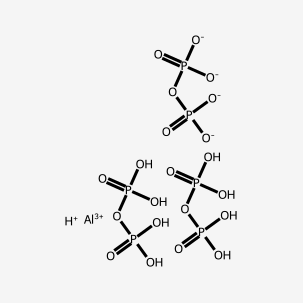 O=P(O)(O)OP(=O)(O)O.O=P(O)(O)OP(=O)(O)O.O=P([O-])([O-])OP(=O)([O-])[O-].[Al+3].[H+]